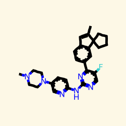 CC1=Cc2ccc(-c3nc(Nc4ccc(N5CCN(C)CC5)cn4)ncc3F)cc2C12CCCC2